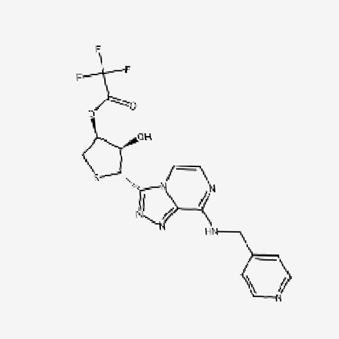 O=C(O[C@@H]1CS[C@@H](c2nnc3c(NCc4ccncc4)nccn23)[C@@H]1O)C(F)(F)F